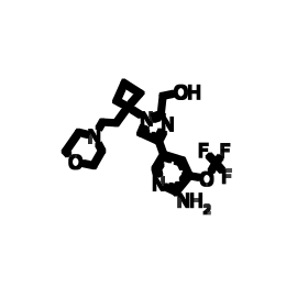 Nc1ncc(-c2cn(C3(CCN4CCOCC4)CCC3)c(CO)n2)cc1OC(F)(F)F